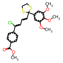 COC(=O)c1ccc(/C(Cl)=C/C=C/C2(c3cc(OC)c(OC)c(OC)c3)SCCS2)cc1